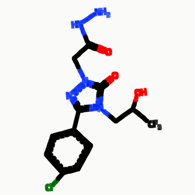 NNC(=O)Cn1nc(-c2ccc(Cl)cc2)n(CC(O)C(F)(F)F)c1=O